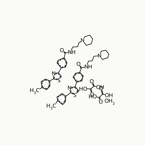 Cc1ccc(-c2nc(-c3ccc(C(=O)NCCCN4CCCCC4)cc3)cs2)cc1.Cc1ccc(-c2nc(-c3ccc(C(=O)NCCCN4CCCCC4)cc3)cs2)cc1.O.O=C(O)C(=O)O.O=C(O)C(=O)O